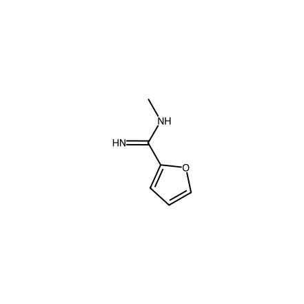 CNC(=N)c1ccco1